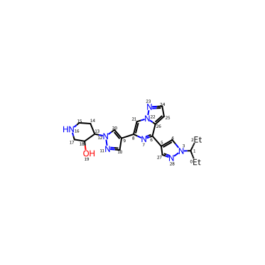 CCC(CC)n1cc(-c2nc(-c3cnn(C4CCNCC4O)c3)cn3nccc23)cn1